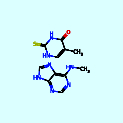 CNc1ncnc2[nH]cnc12.Cc1c[nH]c(=S)[nH]c1=O